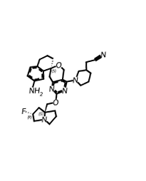 N#CCC1CCCN(c2nc(OC[C@@]34CCCN3C[C@H](F)C4)nc3c2CO[C@@]2(CCCc4ccc(N)cc42)C3)C1